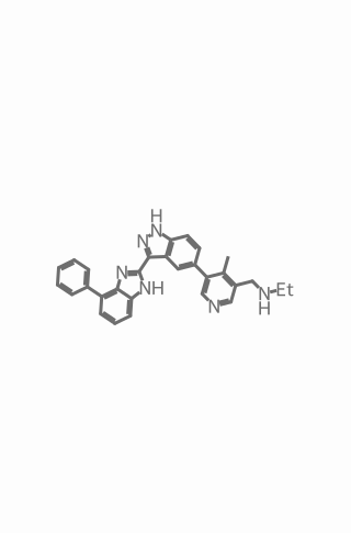 CCNCc1cncc(-c2ccc3[nH]nc(-c4nc5c(-c6ccccc6)cccc5[nH]4)c3c2)c1C